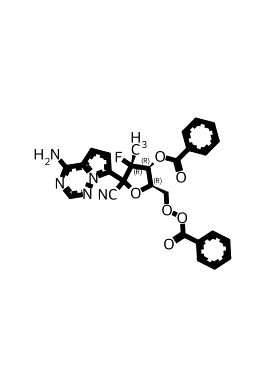 C[C@@]1(F)[C@H](OC(=O)c2ccccc2)[C@@H](COOC(=O)c2ccccc2)OC1(C#N)c1ccc2c(N)ncnn12